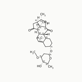 CO[C@@H]1C[C@H](O[C@H]2CC[C@@]3(C)C(=CC[C@H]4[C@H]5C(=O)C[C@H]6[C@H](C)O[C@@H](C(=O)[C@@H]43)[C@@]56C)C2)O[C@H](C)[C@@H]1O